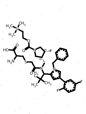 CC(C)(C)C(c1cc(-c2cc(F)ccc2F)cn1Cc1ccccc1)N(C[C@@H]1CN(C(=O)OCC[Si](C)(C)C)C[C@@H]1F)C(=O)CSCC(N)C(=O)O